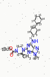 CC(C)n1cnc2c(NCc3ccc(-c4ccccc4)cc3)nc(N3CCN(C(=O)OC(C)(C)C)C[C@H]3C)nc21